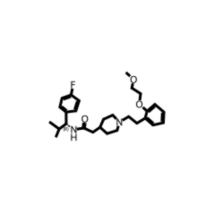 COCCOc1ccccc1CCN1CCC(CC(=O)N[C@@H](c2ccc(F)cc2)C(C)C)CC1